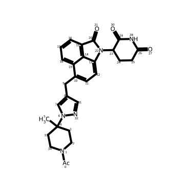 CC(=O)N1CCC(C)(n2cc(Cc3ccc4c5c(cccc35)C(=O)N4C3CCC(=O)NC3=O)cn2)CC1